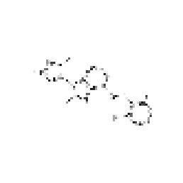 Cc1nn(C)cc1-c1c(C)nc2c(OCc3c(F)cccc3F)cccn12